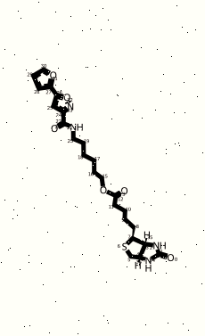 O=C1N[C@H]2[C@H](CS[C@H]2CCCCC(=O)OCCCCCCNC(=O)c2cc(-c3ccco3)on2)N1